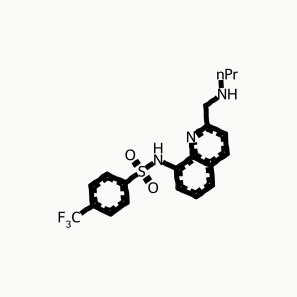 CCCNCc1ccc2cccc(NS(=O)(=O)c3ccc(C(F)(F)F)cc3)c2n1